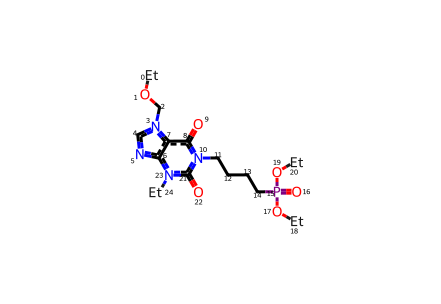 CCOCn1cnc2c1c(=O)n(CCCCP(=O)(OCC)OCC)c(=O)n2CC